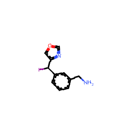 NCc1cccc(C(I)c2cocn2)c1